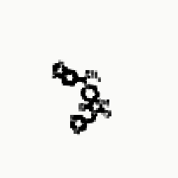 CC(c1ccc2scnc2c1)N1CCC2(CC1)NC(=O)N(Cc1cncnc1)C2=O